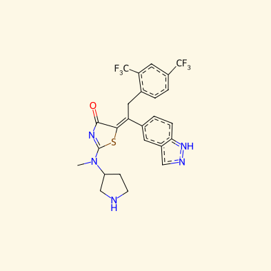 CN(C1=NC(=O)C(=C(Cc2ccc(C(F)(F)F)cc2C(F)(F)F)c2ccc3[nH]ncc3c2)S1)C1CCNC1